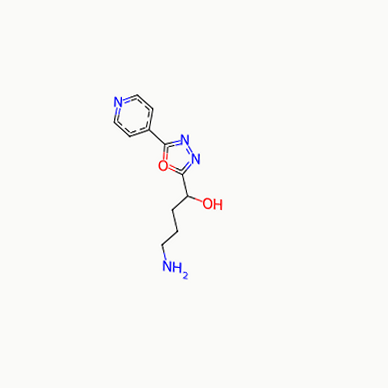 NCCCC(O)c1nnc(-c2ccncc2)o1